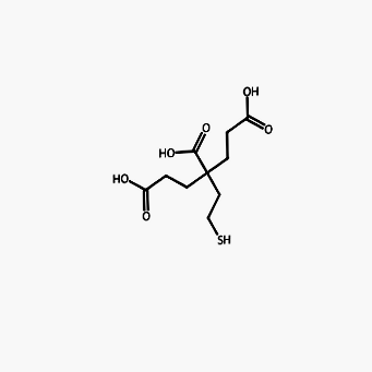 O=C(O)CCC(CCS)(CCC(=O)O)C(=O)O